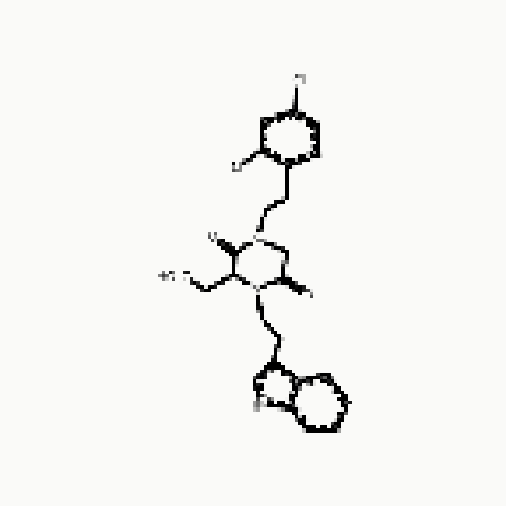 O=C(O)CC1C(=O)N(CCc2ccc(Cl)cc2Cl)CC(=O)N1CCc1c[nH]c2ccccc12